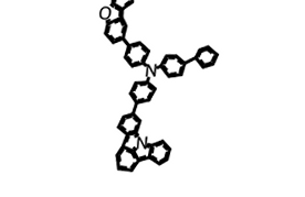 c1ccc(-c2ccc(N(c3ccc(-c4ccc5oc6ccccc6c5c4)cc3)c3ccc(-c4ccc5c6cccc7c8ccccc8n(c5c4)c76)cc3)cc2)cc1